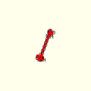 Cc1nc(Nc2ncc(C(=O)Nc3c(C)cccc3Cl)s2)cc(N2CCN(C(=O)CCOCCOCCOCCOCCOCCOCCOCCOCCNC(=O)C3CCN(c4ncc(C=O)cc4-c4ccnn4C4CCCCO4)CC3)CC2)n1